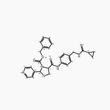 O=C(NCc1ccc(NC(=O)C2CSC(c3ccncc3)N2C(=O)OCc2ccccc2)cc1)C1CC1